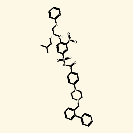 CC(C)CC[C@H](CSc1ccccc1)Nc1ccc(S(=O)(=O)NC(=O)c2ccc(N3CCN(Cc4ccccc4-c4ccccc4)CC3)cc2)cc1[N+](=O)[O-]